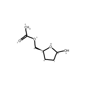 CC(=O)OC[C@@H]1CCC(O)O1